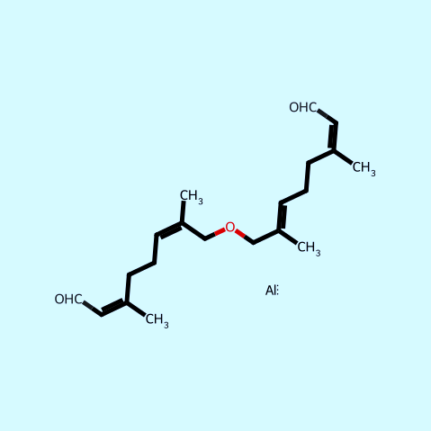 CC(=CCC/C(C)=C\C=O)COCC(C)=CCC/C(C)=C\C=O.[Al]